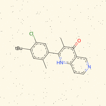 Cc1cc(C(C)(C)C)c(Cl)cc1-c1[nH]c2ccncc2c(=O)c1C